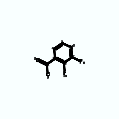 O=C(Cl)c1ccnc(F)c1F